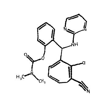 CN(C)C(=O)Oc1ccccc1C(Nc1ncccn1)c1cccc(C#N)c1Cl